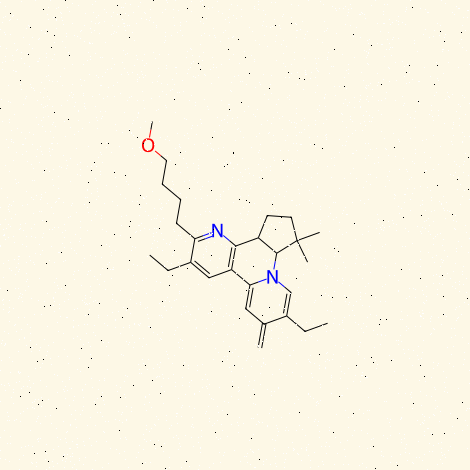 C=C1C=C2c3cc(CC)c(CCCCOC)nc3C3CCC(C)(C)C3N2C=C1CC